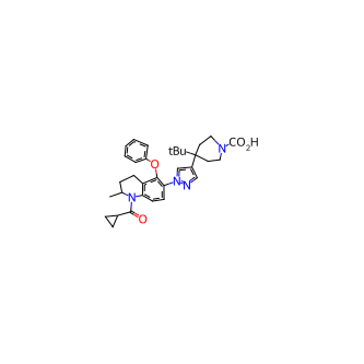 CC1CCc2c(ccc(-n3cc(C4(C(C)(C)C)CCN(C(=O)O)CC4)cn3)c2Oc2ccccc2)N1C(=O)C1CC1